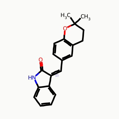 CC1(C)CCc2cc(/C=C3\C(=O)Nc4ccccc43)ccc2O1